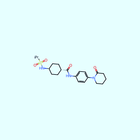 CC(C)S(=O)(=O)N[C@H]1CC[C@H](C(=O)Nc2ccc(N3CCCCC3=O)cc2)CC1